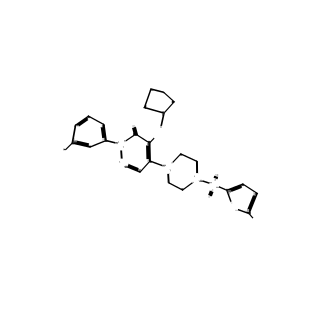 O=c1c(OC2CCCC2)c(N2CCN(S(=O)(=O)c3ccc(Cl)s3)CC2)cnn1-c1cccc(Cl)c1